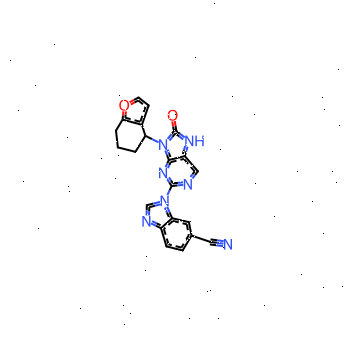 N#Cc1ccc2ncn(-c3ncc4[nH]c(=O)n(C5CCCc6occc65)c4n3)c2c1